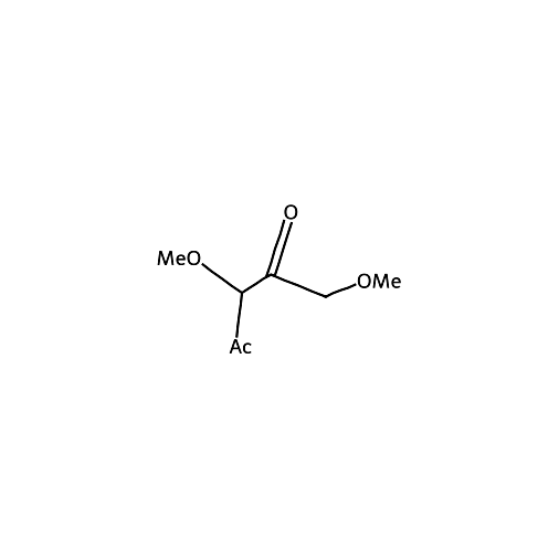 COCC(=O)C(OC)C(C)=O